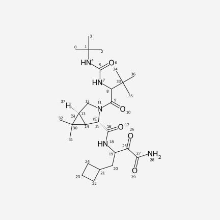 CC(C)(C)NC(=O)NC(C(=O)N1C[C@H]2C([C@H]1C(=O)NC(CC1CCC1)C(=O)C(N)=O)C2(C)C)C(C)(C)C